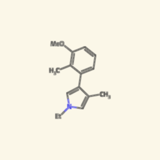 CCn1cc(C)c(-c2cccc(OC)c2C)c1